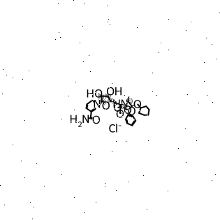 C[C@H](NP(=O)(OC[C@H]1O[C@@H]([n+]2cccc(C(N)=O)c2)[C@H](O)[C@@H]1O)Oc1ccccc1)C(=O)OC1CCCCC1.[Cl-]